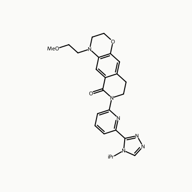 COCCN1CCOc2cc3c(cc21)C(=O)N(c1cccc(-c2nncn2C(C)C)n1)CC3